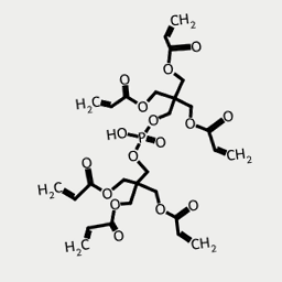 C=CC(=O)OCC(COC(=O)C=C)(COC(=O)C=C)COP(=O)(O)OCC(COC(=O)C=C)(COC(=O)C=C)COC(=O)C=C